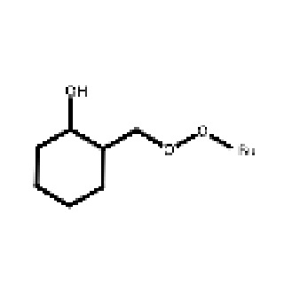 CC(C)(C)OOCC1CCCCC1O